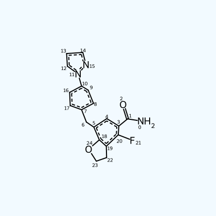 NC(=O)c1cc(Cc2ccc(-n3cccn3)cc2)c2c(c1F)CCO2